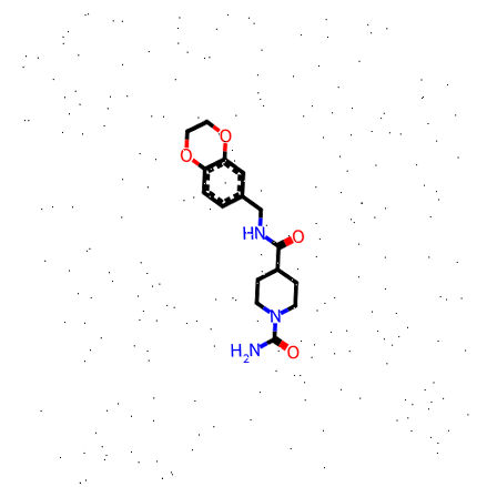 NC(=O)N1CCC(C(=O)NCc2ccc3c(c2)OCCO3)CC1